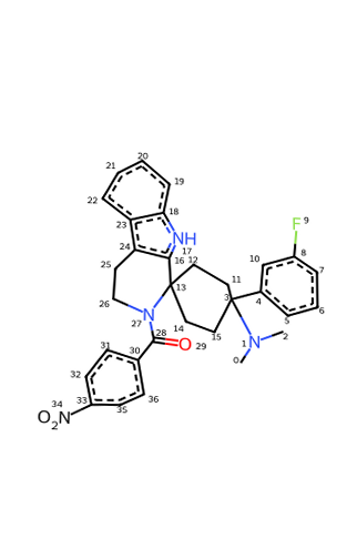 CN(C)C1(c2cccc(F)c2)CCC2(CC1)c1[nH]c3ccccc3c1CCN2C(=O)c1ccc([N+](=O)[O-])cc1